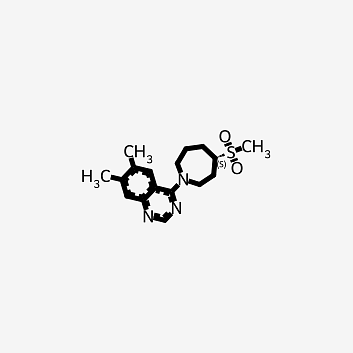 Cc1cc2ncnc(N3CCC[C@H](S(C)(=O)=O)CC3)c2cc1C